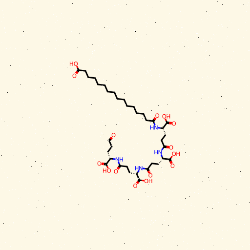 O=[C]CC[C@H](NC(=O)CC[C@H](NC(=O)CC[C@H](NC(=O)CC[C@H](NC(=O)CCCCCCCCCCCCCCC(=O)O)C(=O)O)C(=O)O)C(=O)O)C(=O)O